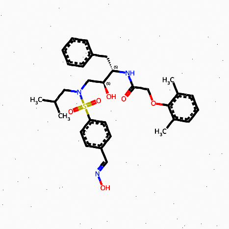 Cc1cccc(C)c1OCC(=O)N[C@@H](Cc1ccccc1)[C@@H](O)CN(CC(C)C)S(=O)(=O)c1ccc(C=NO)cc1